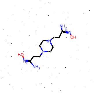 N/C(CCN1CCN(CC/C(N)=N\O)CC1)=N/O